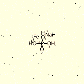 O=P(O)(O)O.[NaH].[V][Fe]